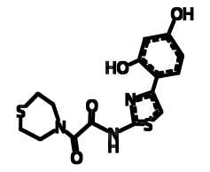 O=C(Nc1nc(-c2ccc(O)cc2O)cs1)C(=O)N1CCSCC1